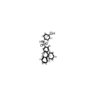 Cc1cc2c(cc1S(=O)(=O)N[C@H]1CC[C@H](O)CC1)Sc1ccccc1C21CCCCC1